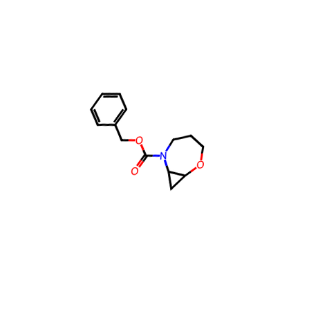 O=C(OCc1ccccc1)N1CCCOC2CC21